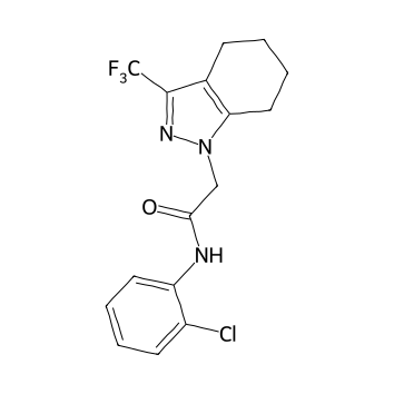 O=C(Cn1nc(C(F)(F)F)c2c1CCCC2)Nc1ccccc1Cl